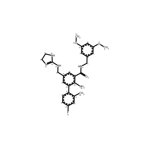 COc1cc(CNC(=O)c2cc(CNC3=NCCN3)cc(-c3ccc(F)cc3C)c2N)cc(OC)c1